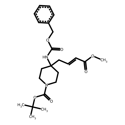 COC(=O)/C=C/CC1(NC(=O)OCc2ccccc2)CCN(C(=O)OC(C)(C)C)CC1